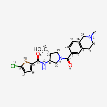 CN1CCc2cc(C(=O)N3C[C@@H](NC(=O)c4ccc(Cl)s4)[C@H](C(=O)O)C3)ccc2C1